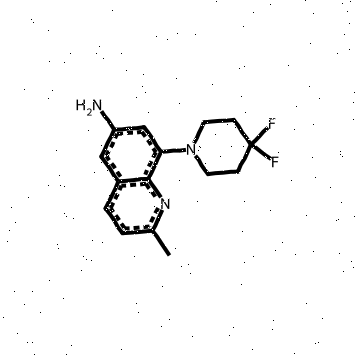 Cc1ccc2cc(N)cc(N3CCC(F)(F)CC3)c2n1